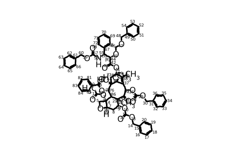 CC(=O)O[C@@]12CO[C@@H]1C[C@H](OC(=O)OCc1ccccc1)[C@@]1(C)C(=O)[C@H](OC(=O)OCc3ccccc3)C3=C(C)[C@@H](OC(=O)[C@H](OCOCc4ccccc4)[C@@H](NC(=O)OCc4ccccc4)c4ccccc4)CC(O)([C@@H](OC(=O)c4ccccc4)C12)C3(C)C